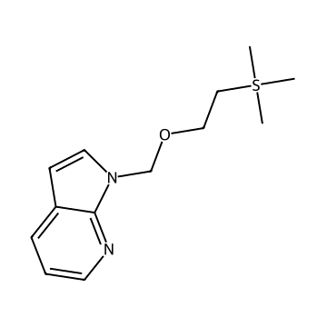 CS(C)(C)CCOCn1ccc2cccnc21